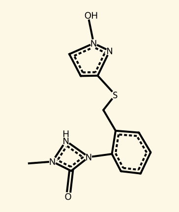 Cn1[nH]n(-c2ccccc2CSc2ccn(O)n2)c1=O